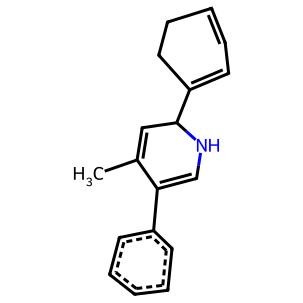 CC1=CC(C2=CC=CCC2)NC=C1c1ccccc1